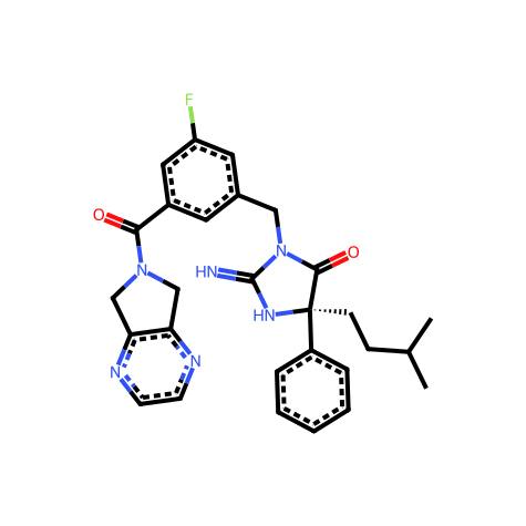 CC(C)CC[C@]1(c2ccccc2)NC(=N)N(Cc2cc(F)cc(C(=O)N3Cc4nccnc4C3)c2)C1=O